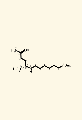 CCCCCCCCCCCCCCCCN[C@@H](CCC(N)=O)C(=O)O